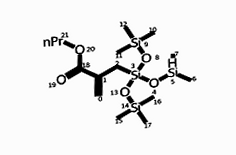 C=C(C[Si](O[SiH](C)C)(O[Si](C)(C)C)O[Si](C)(C)C)C(=O)OCCC